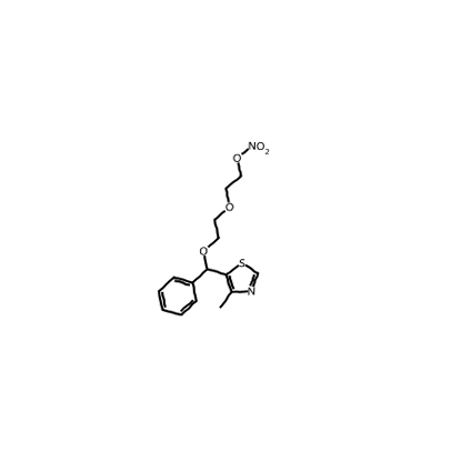 Cc1ncsc1C(OCCOCCO[N+](=O)[O-])c1ccccc1